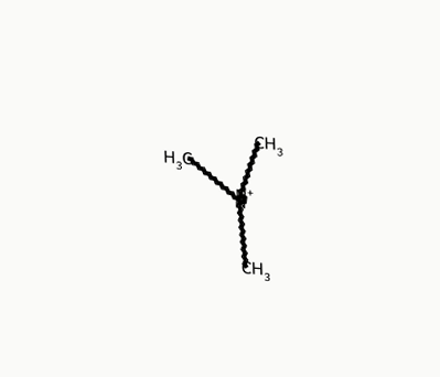 CCCCCCCCCCCCCCCCCCn1cc[n+](CCCCCCCCCCCCCCCC)c1CCCCCCCCCCCCCCCCC